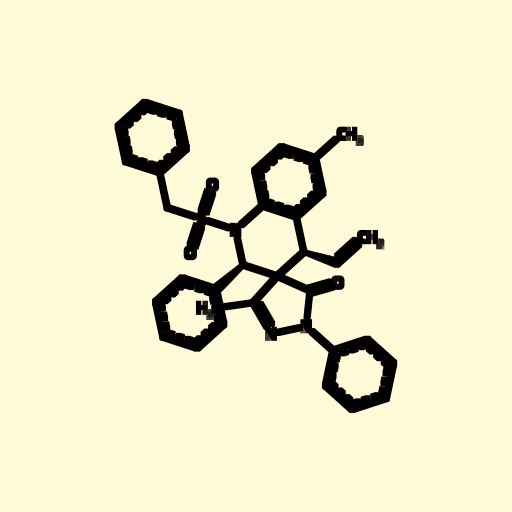 C=C[C@@H]1c2cc(C)ccc2N(S(=O)(=O)Cc2ccccc2)[C@H](c2ccccc2)C12C(=O)N(c1ccccc1)N=C2C